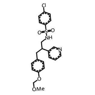 COCOc1ccc(CC(CNS(=O)(=O)c2ccc(Cl)cc2)c2cccnc2)cc1